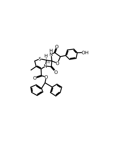 CC1=C(C(=O)OC(c2ccccc2)c2ccccc2)N2C(=O)C3(NC(=O)C(c4ccc(O)cc4)O3)[C@@H]2SC1